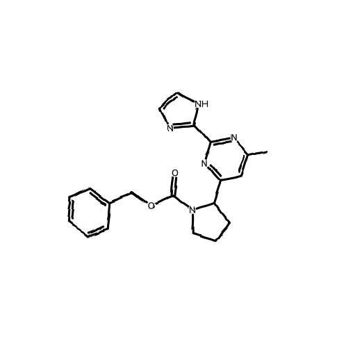 Cc1cc(C2CCCN2C(=O)OCc2ccccc2)nc(-c2ncc[nH]2)n1